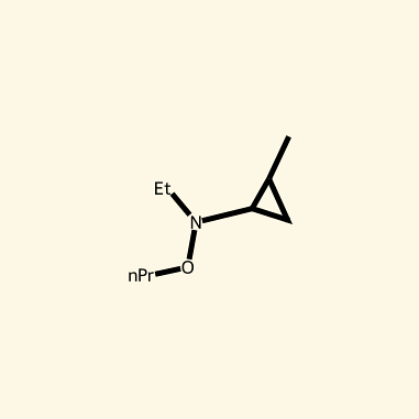 CCCON(CC)C1CC1C